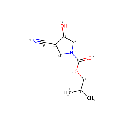 CC(C)COC(=O)N1CC(O)C(C#N)C1